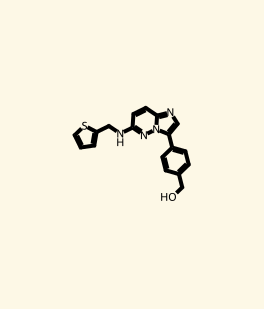 OCc1ccc(-c2cnc3ccc(NCc4cccs4)nn23)cc1